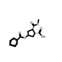 COC(=O)[C@@H]1CC(OC(=O)c2ccccc2)C[C@H]1C(=O)O